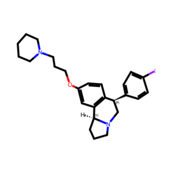 Ic1ccc([C@H]2CN3CCC[C@H]3c3cc(OCCCN4CCCCC4)ccc32)cc1